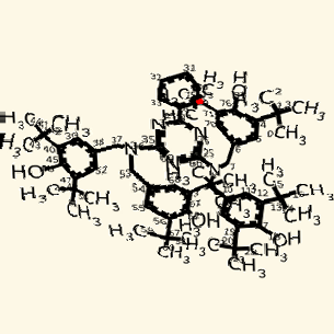 CC(C)(C)c1cc(CN(Cc2cc(C(C)(C)C)c(O)c(C(C)(C)C)c2)c2nc(-c3ccccc3)nc(N(Cc3cc(C(C)(C)C)c(O)c(C(C)(C)C)c3)Cc3cc(C(C)(C)C)c(O)c(C(C)(C)C)c3)n2)cc(C(C)(C)C)c1O